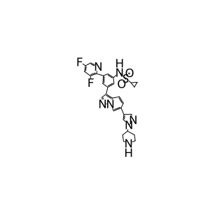 O=S(=O)(Nc1cc(-c2ncc(F)cc2F)cc(-c2cnn3cc(-c4cnn(C5CCNCC5)c4)ccc23)c1)C1CC1